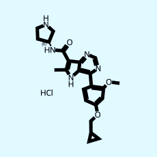 COc1cc(OCC2CC2)ccc1-c1ncnc2c(C(=O)N[C@@H]3CCNC3)c(C)[nH]c12.Cl